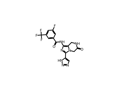 O=C1Cn2c(-c3cnn[nH]3)nc(NC(=O)c3cc(F)cc(C(F)(F)F)c3)c2CN1